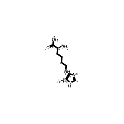 Cl.NCCCC[C@H](N)C(=O)O.c1c[nH]cn1